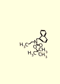 CCCN(Cc1cccc2ccccc12)C(=O)OC(C)(C)C